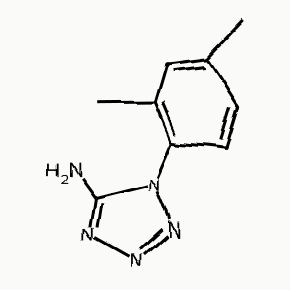 Cc1ccc(-n2nnnc2N)c(C)c1